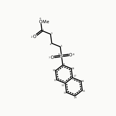 COC(=O)CCCS(=O)(=O)c1ccc2ccccc2c1